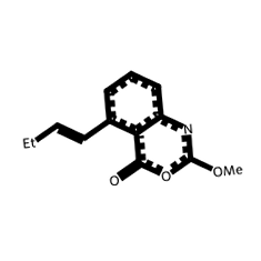 CCC=Cc1cccc2nc(OC)oc(=O)c12